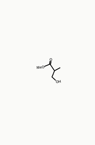 COC(=O)C(C)CO